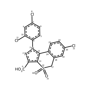 O=C(O)c1nn(-c2ccc(Cl)cc2Cl)c2c1S(=O)(=O)Cc1cc(Cl)ccc1-2